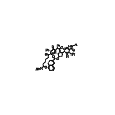 CCCC(NC(=O)C1CC(OC(=O)N2CCc3ccccc3C2)CN1C(=O)[C@@H](NC(=O)[C@@H](NC(=O)CCCCC(=O)NC)C(C)C)C(C)C)C(=O)C(=O)NC1CC1